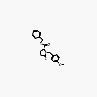 COc1ccc(CN2C(=O)CC[C@H]2C(=O)OCc2ccccc2)cc1